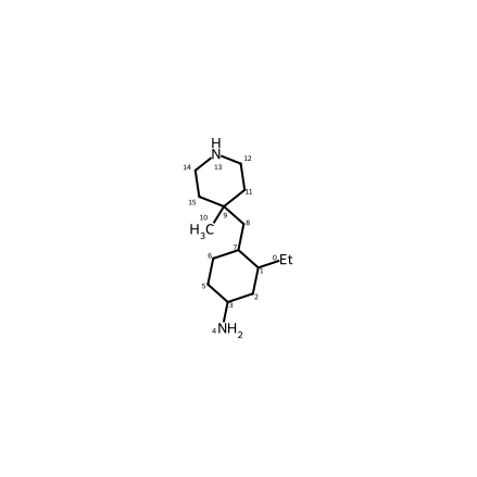 CCC1CC(N)CCC1CC1(C)CCNCC1